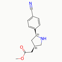 COC(=O)C[C@@H]1CN[C@H](c2ccc(C#N)cc2)C1